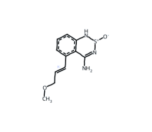 COC/C=C/c1cccc2c1C(N)=N[S+]([O-])N2